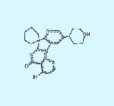 O=c1nc2n(c3cccc(Br)c13)-c1cc(C3CCNCC3)cnc1C21CCCCC1